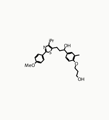 COc1ccc(-c2nc(C(C)C)c(CCC(O)c3ccc(OCCCO)c(C)c3)s2)cc1